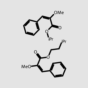 COC(=Cc1ccccc1)C(=O)OC(C)C.COC(=Cc1ccccc1)C(=O)OCCC(C)C